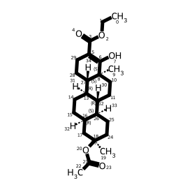 CCOC(=O)C1=C(O)[C@@]2(C)CC[C@H]3[C@@H](CC[C@@H]4C[C@](C)(OC(C)=O)CC[C@@H]43)[C@@H]2CC1